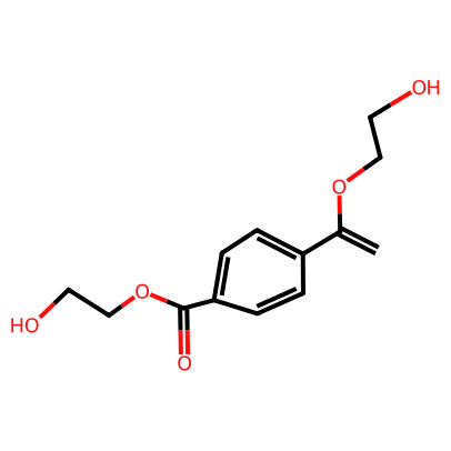 C=C(OCCO)c1ccc(C(=O)OCCO)cc1